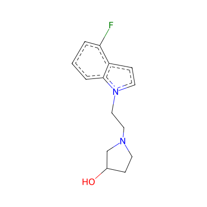 OC1CCN(CCn2ccc3c(F)cccc32)C1